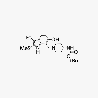 CCc1c(SC)[nH]c2c(CN3CCC(NC(=O)OC(C)(C)C)CC3)c(O)ccc12